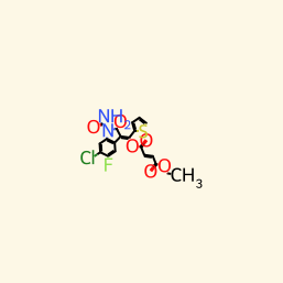 CCOC(=O)C=CC(=O)OC(=C1C(=O)N(C(N)=O)c2cc(Cl)c(F)cc21)c1cccs1